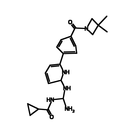 CC1(C)CN(C(=O)c2ccc(C3=CC=CC(NC(N)NC(=O)C4CC4)N3)cc2)C1